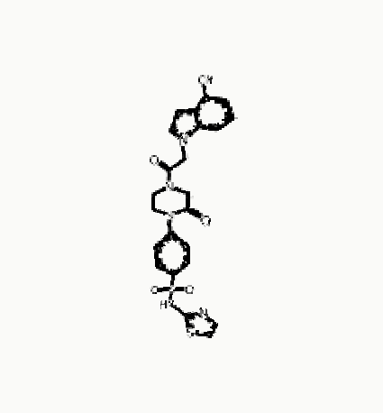 N#Cc1cccc2c1ccn2CC(=O)N1CCN(c2ccc(S(=O)(=O)Nc3nccs3)cc2)C(=O)C1